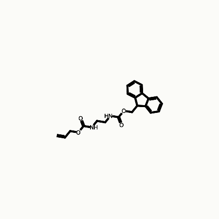 C=CCOC(=O)NCCNC(=O)OCC1c2ccccc2-c2ccccc21